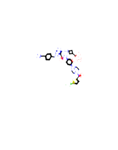 N#Cc1ccc(Cn2cncc2C(=O)Nc2ccc(N3CCN(C(=O)c4ccc(Cl)s4)CC3)cc2)cc1.O=C(O)C1CCC1